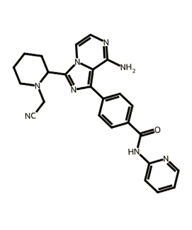 N#CCN1CCCCC1c1nc(-c2ccc(C(=O)Nc3ccccn3)cc2)c2c(N)nccn12